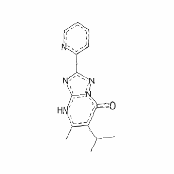 Cc1[nH]c2nc(-c3ccccn3)nn2c(=O)c1C(C)C